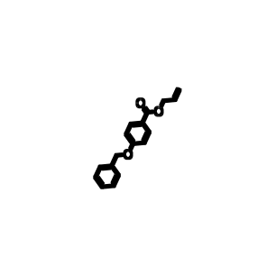 C=CCOC(=O)c1ccc(OCc2ccccc2)cc1